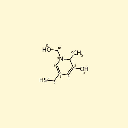 CC1C(O)=CC(CS)=CN1CO